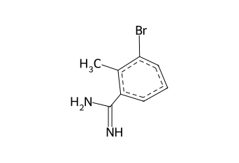 Cc1c(Br)cccc1C(=N)N